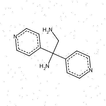 NCC(N)(c1ccncc1)c1ccncc1